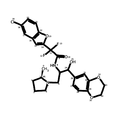 C[C@@H]1CCCN1CC(NC(=O)C(F)(F)c1cc2cc(Cl)ccc2o1)C(O)c1ccc2c(c1)OCCO2